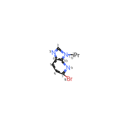 CC(C)n1cnc2ccc(Br)nc21